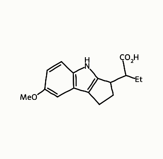 CCC(C(=O)O)C1CCc2c1[nH]c1ccc(OC)cc21